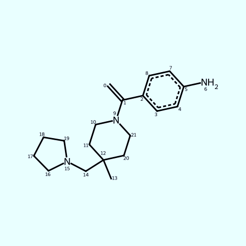 C=C(c1ccc(N)cc1)N1CCC(C)(CN2CCCC2)CC1